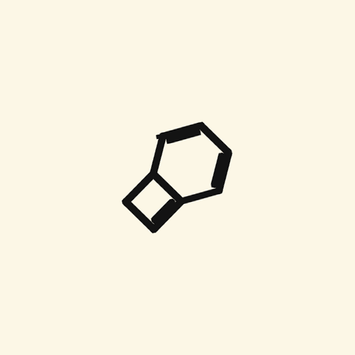 [C]1=CC=CC2=CCC12